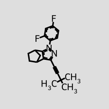 CC(C)(C)C#Cc1nn(-c2ccc(F)cc2F)c2c1C1CCC2C1